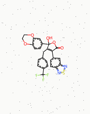 O=C1OC(O)(c2ccc3c(c2)OCCO3)C(Cc2ccc(C(F)(F)F)cc2)=C1c1ccc2nsnc2c1